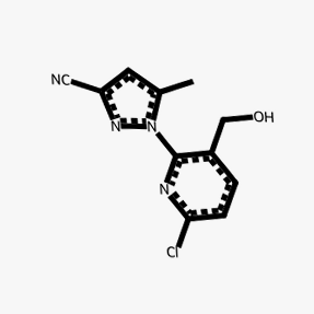 Cc1cc(C#N)nn1-c1nc(Cl)ccc1CO